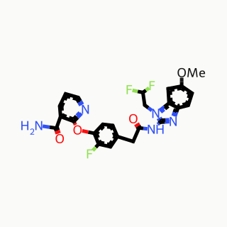 COc1ccc2nc(NC(=O)Cc3ccc(Oc4ncccc4C(N)=O)c(F)c3)n(CC(F)F)c2c1